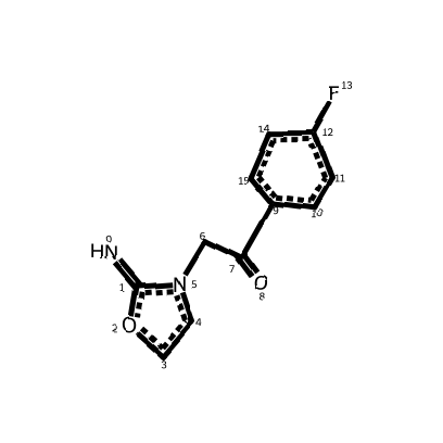 N=c1occn1CC(=O)c1ccc(F)cc1